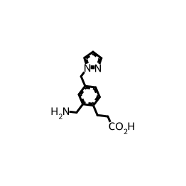 NCc1cc(Cn2cccn2)ccc1CCC(=O)O